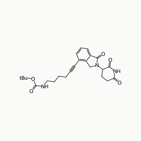 CC(C)(C)OC(=O)NCCCCC#Cc1cccc2c1CN(C1CCC(=O)NC1=O)C2=O